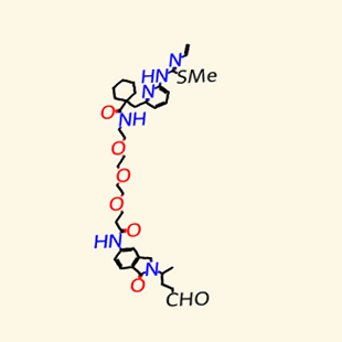 C=C/N=C(/Nc1cccc(CC2(C(=O)NCCOCCOCCOCCC(=O)Nc3ccc4c(c3)CN(C(C)CCC=O)C4=O)CCCCC2)n1)SC